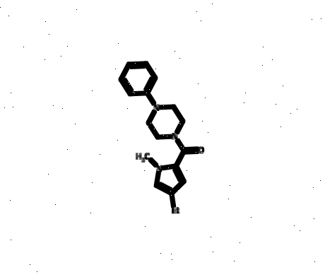 CCc1cc(C(=O)N2CCN(c3ccccc3)CC2)n(C)c1